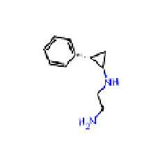 NCCN[C@@H]1C[C@H]1c1ccccc1